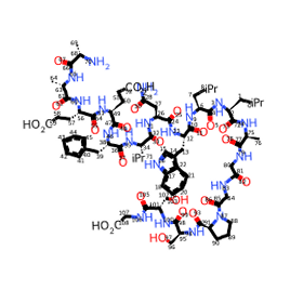 CC(C)C[C@H](NC(=O)[C@H](CC(C)C)NC(=O)[C@H](Cc1c[nH]c2ccccc12)NC(=O)[C@H](CC(N)=O)NC(=O)[C@@H](NC(=O)[C@H](Cc1ccccc1)NC(=O)[C@H](CCC(=O)O)NC(=O)[C@H](CCC(=O)O)NC(=O)[C@H](C)NC(=O)[C@H](C)N)C(C)C)C(=O)N[C@@H](C)C(=O)NCC(=O)NCC(=O)N1CCC[C@H]1C(=O)N[C@@H](CO)C(=O)N[C@@H](CO)C(=O)NCC(=O)O